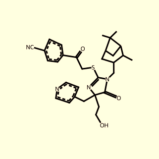 CC1C(CN2C(=O)C(CCO)(Cc3ccncc3)N=C2SCC(=O)c2ccc(C#N)cc2)CC2CC1C2(C)C